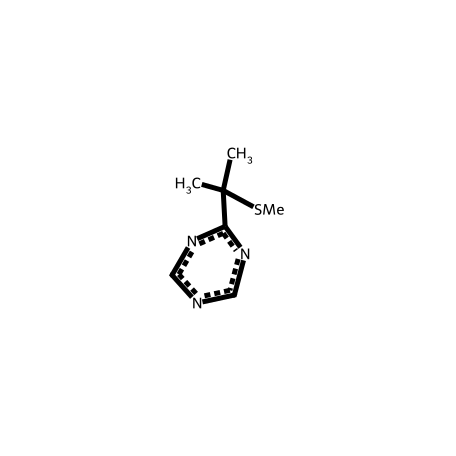 CSC(C)(C)c1ncncn1